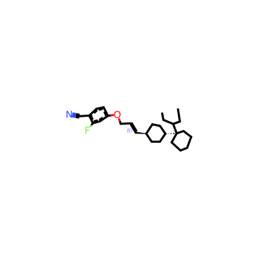 CCC(CC)C1([C@H]2CC[C@H](/C=C/COc3ccc(C#N)c(F)c3)CC2)CCCCC1